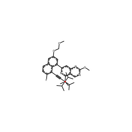 COCOc1cc(-c2cc3nc(SC)ncc3c(N(C)C)n2)c2c(C#C[Si](C(C)C)(C(C)C)C(C)C)c(F)ccc2c1